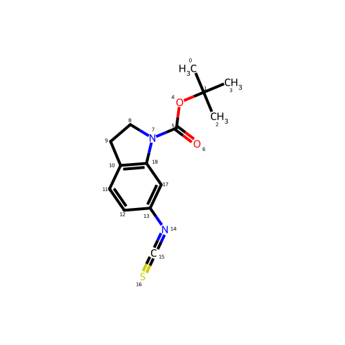 CC(C)(C)OC(=O)N1CCc2ccc(N=C=S)cc21